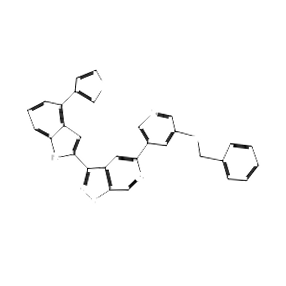 c1ccc(COc2cncc(-c3cc4c(-c5cc6c(-c7ccoc7)cccc6[nH]5)n[nH]c4cn3)c2)cc1